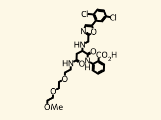 COCCOCCOCCNC(=O)CC(NCc1ncc(-c2cc(Cl)ccc2Cl)o1)C(=O)Nc1ccccc1C(=O)O